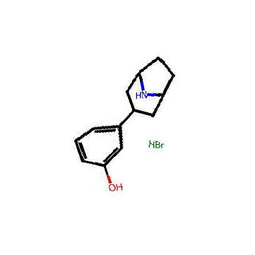 Br.Oc1cccc(C2CC3CCC(C2)N3)c1